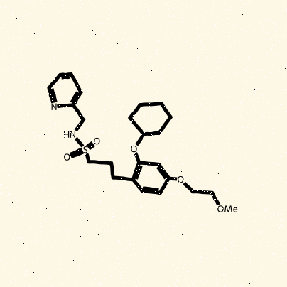 COCCOc1ccc(CCCS(=O)(=O)NCc2ccccn2)c(OC2CCCCC2)c1